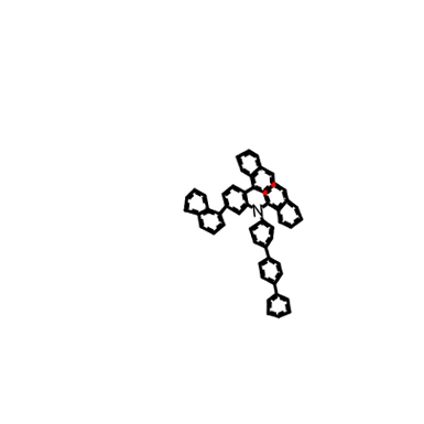 c1ccc(-c2ccc(-c3ccc(N(c4cc(-c5cccc6ccccc56)ccc4-c4cccc5ccccc45)c4cccc5ccccc45)cc3)cc2)cc1